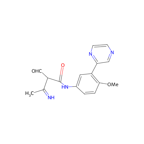 COc1ccc(NC(=O)C(C=O)C(C)=N)cc1-c1cnccn1